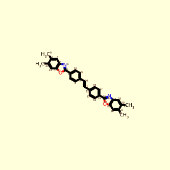 Cc1cc2nc(-c3ccc(/C=C/c4ccc(-c5nc6cc(C)c(C)cc6o5)cc4)cc3)oc2cc1C